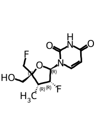 C[C@H]1[C@@H](F)[C@H](n2ccc(=O)[nH]c2=O)O[C@@]1(CO)CF